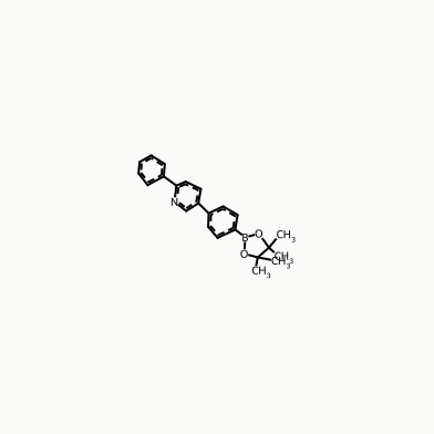 CC1(C)OB(c2ccc(-c3ccc(-c4ccccc4)nc3)cc2)OC1(C)C